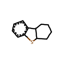 c1ccc2c(c1)SC1CCCC[C]21